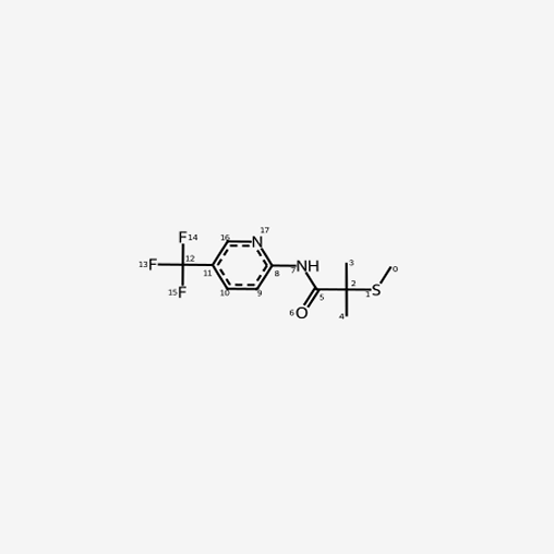 CSC(C)(C)C(=O)Nc1ccc(C(F)(F)F)cn1